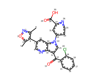 Cc1noc(C)c1-c1cnc2c(C(=O)c3ccccc3Cl)cn(-c3ccnc(C(=O)O)c3)c2c1